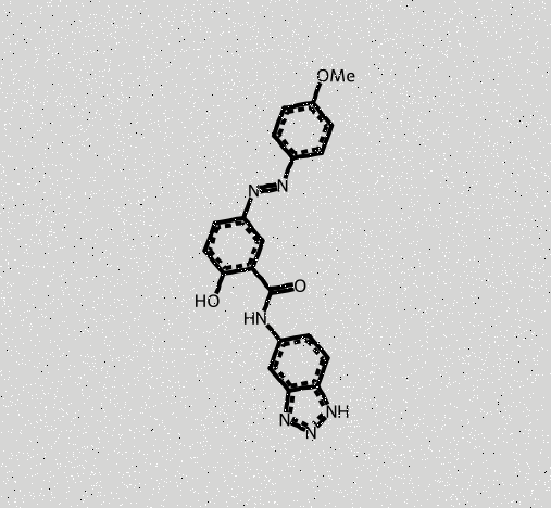 COc1ccc(N=Nc2ccc(O)c(C(=O)Nc3ccc4[nH]nnc4c3)c2)cc1